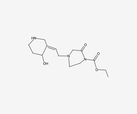 CCOC(=O)N1CCN(CC=C2CNCCC2O)CC1=O